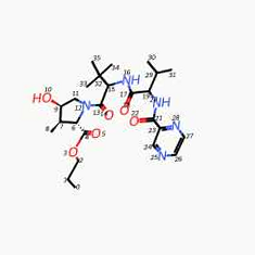 CCCOC(=O)[C@@H]1[C@@H](C)[C@@H](O)CN1C(=O)C(NC(=O)C(NC(=O)c1cnccn1)C(C)C)C(C)(C)C